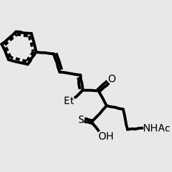 CC/C(=C\C=C\c1ccccc1)C(=O)C(CCNC(C)=O)C(O)=S